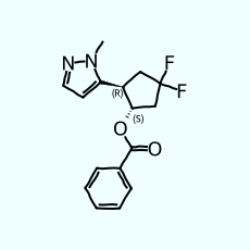 Cn1nccc1[C@H]1CC(F)(F)C[C@@H]1OC(=O)c1ccccc1